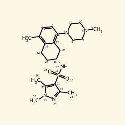 Cc1ccc(N2CCN(C)CC2)c2c1CC[C@@H](NS(=O)(=O)c1c(C)nn(C)c1C)C2